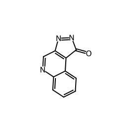 O=C1N=Nc2cnc3ccccc3c21